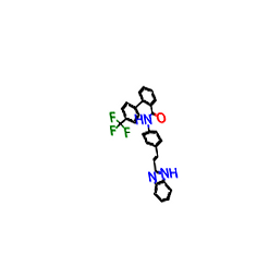 O=C(Nc1ccc(/C=C/c2nc3ccccc3[nH]2)cc1)c1ccccc1-c1ccc(C(F)(F)F)cc1